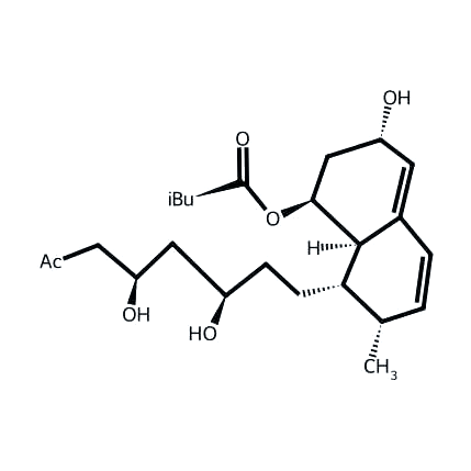 CC[C@H](C)C(=O)O[C@H]1C[C@H](O)C=C2C=C[C@H](C)[C@H](CC[C@@H](O)C[C@@H](O)CC(C)=O)[C@H]21